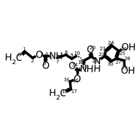 C=CCOC(=O)NCCCC[C@@H](NC(=O)OCC=C)C(=O)Nc1ccc(O)c(CO)c1